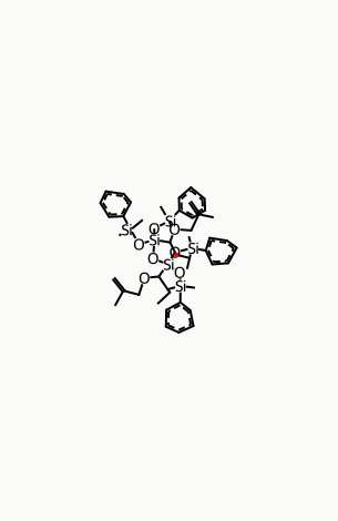 C=C(C)COC(CC)[Si](O[Si](C)(C)c1ccccc1)(O[Si](C)(C)c1ccccc1)O[Si](O[Si](C)(C)c1ccccc1)(O[Si](C)(C)c1ccccc1)C(CC)OCC(=C)C